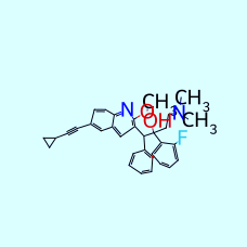 COc1nc2ccc(C#CC3CC3)cc2cc1C(c1ccccc1)C(O)(CCN(C)C)c1ccccc1F